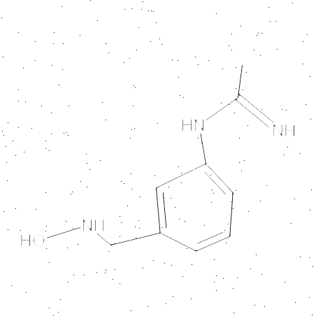 CC(=N)Nc1cccc(CNO)c1